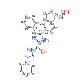 O=C(NCCN1CCOCC1)c1nc(-c2ccncc2)c(-c2ccc3c(c2)CCC3=NO)[nH]1